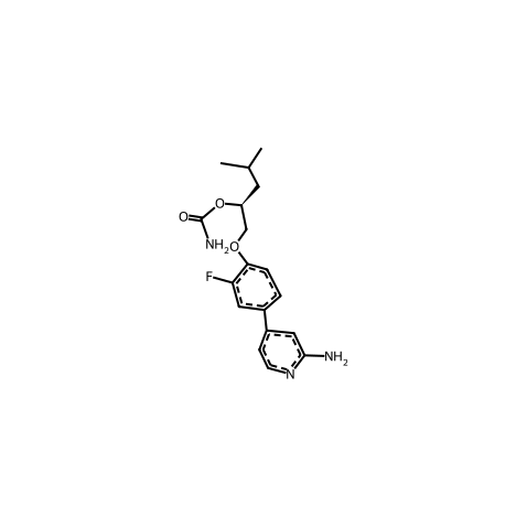 CC(C)C[C@@H](COc1ccc(-c2ccnc(N)c2)cc1F)OC(N)=O